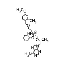 COc1ccc(COCCNP(=O)(CO[C@H](C)Cn2cnc3c(N)ncnc32)Oc2ccccc2)c(C)c1